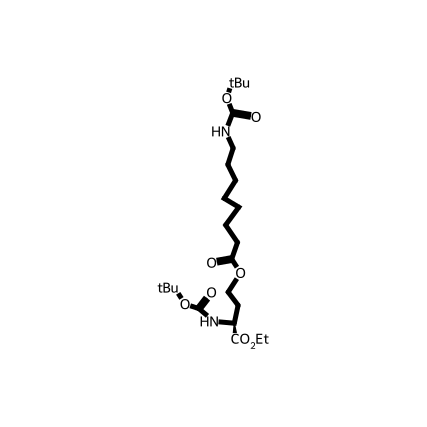 CCOC(=O)[C@H](CCOC(=O)CCCCCCCNC(=O)OC(C)(C)C)NC(=O)OC(C)(C)C